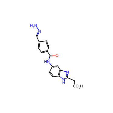 NN=Cc1ccc(C(=O)Nc2ccc3[nH]c(CC(=O)O)nc3c2)cc1